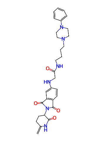 C=C1CCC(N2C(=O)c3ccc(NCC(=O)NCCCCN4CCN(c5ccccc5)CC4)cc3C2=O)C(=O)N1